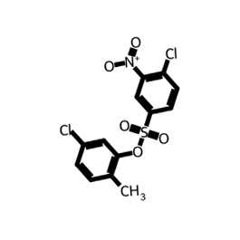 Cc1ccc(Cl)cc1OS(=O)(=O)c1ccc(Cl)c([N+](=O)[O-])c1